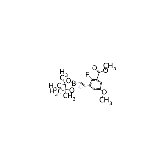 COC(=O)c1cc(OC)cc(/C=C/B2OC(C)(C)C(C)(C)O2)c1F